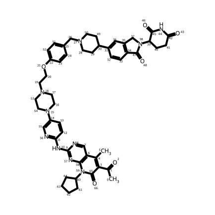 CC(=O)c1c(C)c2cnc(Nc3ccc(N4CCN(CCOc5ccc(CN6CCC(c7ccc8c(c7)CN(C7CCC(=O)NC7=O)C8=O)CC6)cc5)CC4)cn3)nc2n(C2CCCC2)c1=O